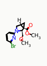 COC[C@H]1N(c2cccc(Br)n2)C[C@@H]2C[C@@]21C(=O)OC